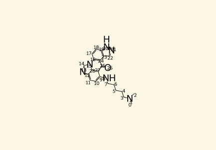 CN(C)CCCCCNC1=CC=C2N=CN3c4ccc5[nH]ncc5c4C(=O)C1C23